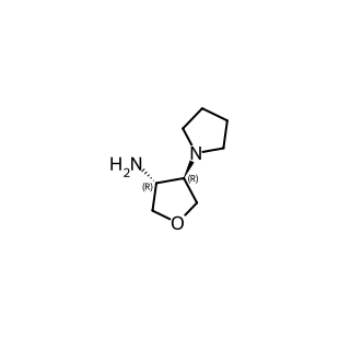 N[C@H]1COC[C@@H]1N1CCCC1